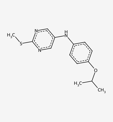 CSc1ncc(Nc2ccc(OC(C)C)cc2)cn1